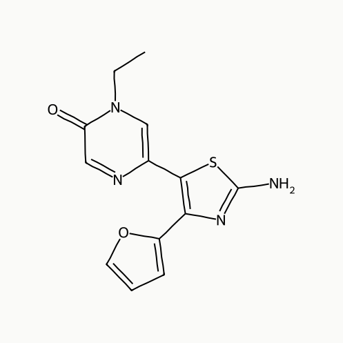 CCn1cc(-c2sc(N)nc2-c2ccco2)ncc1=O